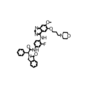 COc1cc2ncnc(Nc3ccc(NC(=O)C(c4ccccc4)N4Cc5ccccc5C4=O)cc3F)c2cc1OCCCN1CCOCC1